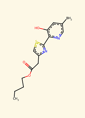 Bc1cnc(-c2nc(CC(=O)OCCCC)cs2)c(O)c1